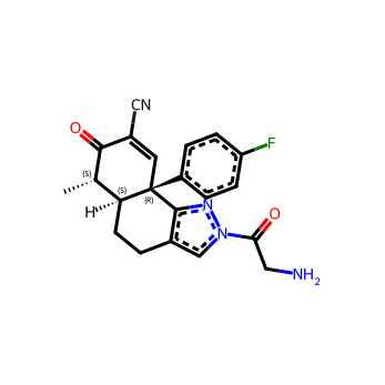 C[C@@H]1C(=O)C(C#N)=C[C@]2(c3ccc(F)cc3)c3nn(C(=O)CN)cc3CC[C@@H]12